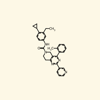 CCc1cc(NC(=O)N2CCc3nc(-c4cccnc4)nc(-c4ccccc4C)c3C2)ccc1C1CC1